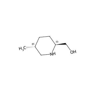 C[C@@H]1CC[C@@H](CO)NC1